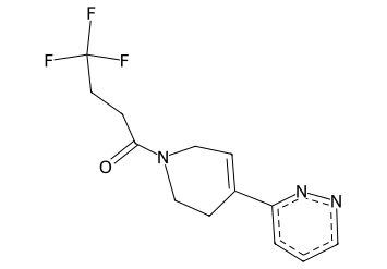 O=C(CCC(F)(F)F)N1CC=C(c2cccnn2)CC1